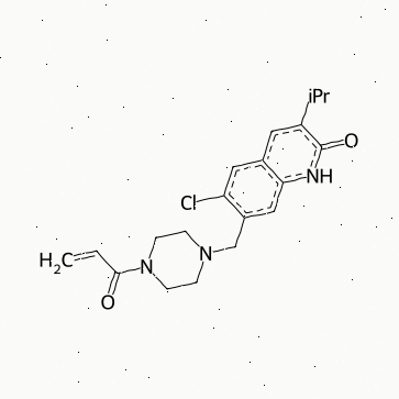 C=CC(=O)N1CCN(Cc2cc3[nH]c(=O)c(C(C)C)cc3cc2Cl)CC1